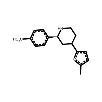 Cc1ccc(C2CCN[C@H](c3ccc(C(=O)O)cc3)C2)s1